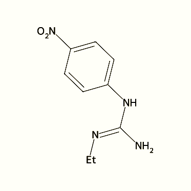 CCN=C(N)Nc1ccc([N+](=O)[O-])cc1